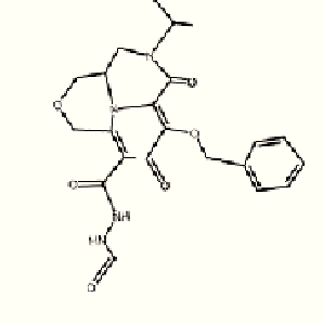 C/C(C(=O)NNC=O)=C1/COCC2CN(C(C)C)C(=O)/C(=C(/C=O)OCc3ccccc3)N12